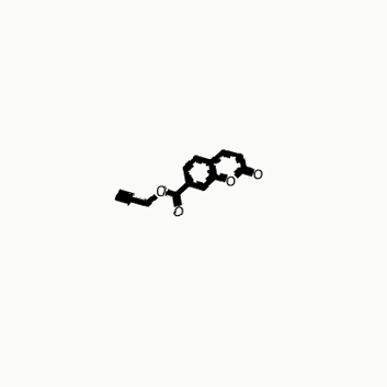 C#CCOC(=O)c1ccc2ccc(=O)oc2c1